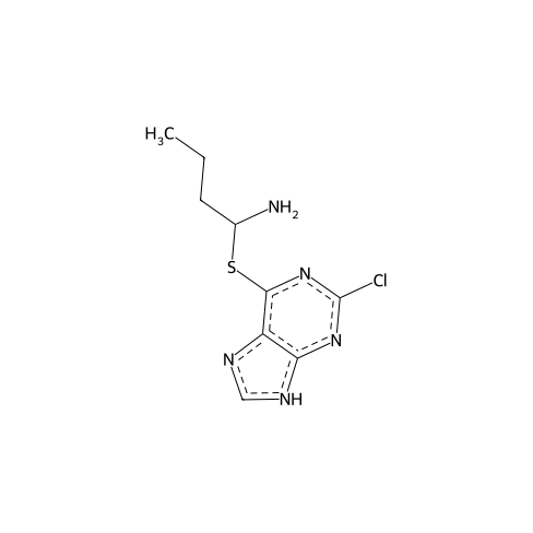 CCCC(N)Sc1nc(Cl)nc2[nH]cnc12